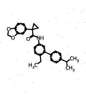 CCc1ccc(NC(=O)C2(c3ccc4c(c3)OCO4)CC2)cc1-c1ccc(C(C)C)cc1